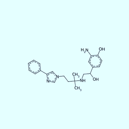 CC(C)(CCn1cnc(-c2ccccc2)c1)NCC(O)c1ccc(O)c(N)c1